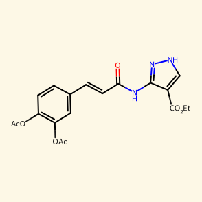 CCOC(=O)c1c[nH]nc1NC(=O)C=Cc1ccc(OC(C)=O)c(OC(C)=O)c1